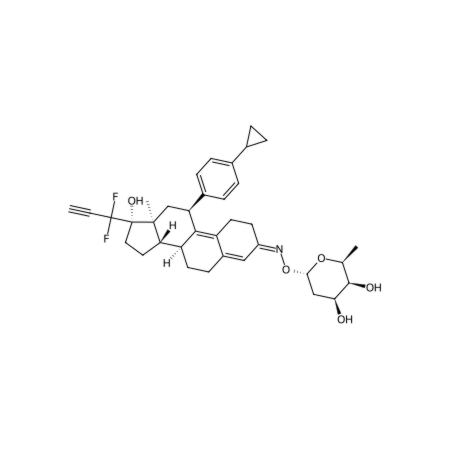 C#CC(F)(F)[C@]1(O)CC[C@H]2[C@@H]3CCC4=CC(=NO[C@H]5C[C@H](O)[C@H](O)[C@H](C)O5)CCC4=C3[C@H](c3ccc(C4CC4)cc3)C[C@@]21C